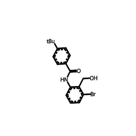 CC(C)(C)c1ccc(C(=O)Nc2cccc(Br)c2CO)cc1